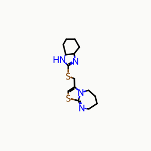 C1=C(CSC2=NC3CCCCC3N2)N2CCCCN=C2S1